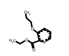 CCCOc1cccnc1C(=O)OCC